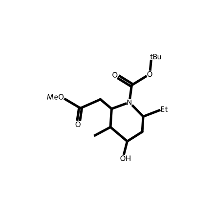 CCC1CC(O)C(C)C(CC(=O)OC)N1C(=O)OC(C)(C)C